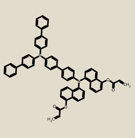 C=CC(=O)Oc1cccc2c(N(c3ccc(-c4ccc(N(c5ccc(-c6ccccc6)cc5)c5ccc(-c6ccccc6)cc5)cc4)cc3)c3cccc4c(OC(=O)C=C)cccc34)cccc12